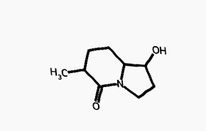 CC1CCC2C(O)CCN2C1=O